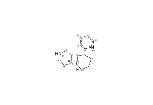 C1CCNCC1.C1CNCCN1.c1cnccn1